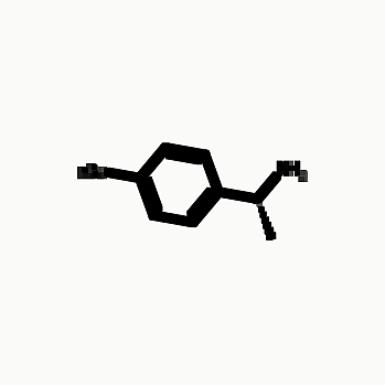 CCCCc1ccc([C@@H](C)N)cc1